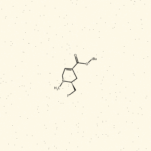 CN1CC=C(C(=O)OC(C)(C)C)C[C@H]1CF